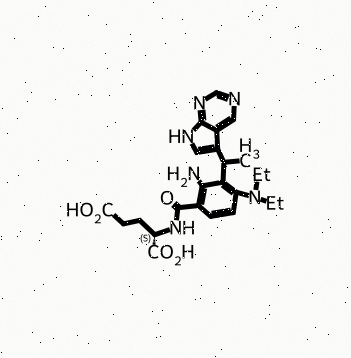 CCN(CC)c1ccc(C(=O)N[C@@H](CCC(=O)O)C(=O)O)c(N)c1C(C)c1c[nH]c2ncncc12